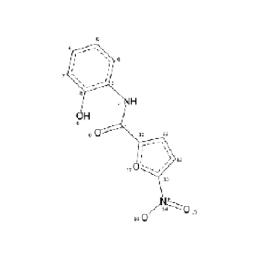 O=C(Nc1ccccc1O)c1ccc([N+](=O)[O-])o1